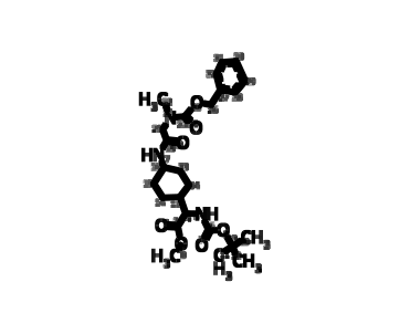 COC(=O)C(NC(=O)OC(C)(C)C)C1CCC(NC(=O)CN(C)C(=O)OCc2ccccc2)CC1